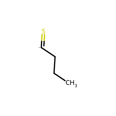 CCC[C]=S